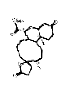 COC(=O)[C@@H]1CC2=CC(=O)CC[C@]2(C)C2CC[C@H](C)C3(CCCC21)CCC(=O)O3